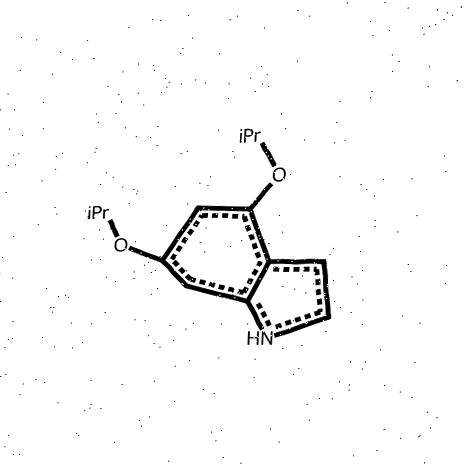 CC(C)Oc1cc(OC(C)C)c2cc[nH]c2c1